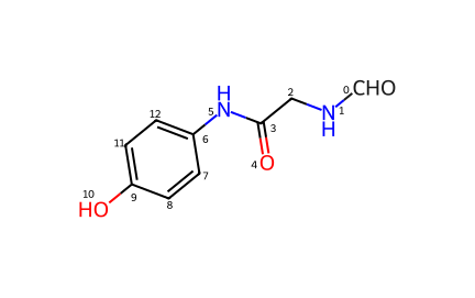 O=CNCC(=O)Nc1ccc(O)cc1